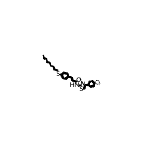 CCCCCCCCCSc1ccc(/C=C/C(=O)Nc2nc(-c3ccc(OC)cc3)cs2)cc1